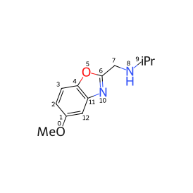 COc1ccc2oc(CNC(C)C)nc2c1